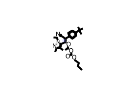 CCCCOC(=O)OC(C)O/C(=C(/C#N)c1ccc(C(C)(C)C)cc1)c1c(C)c(C)nn1CC